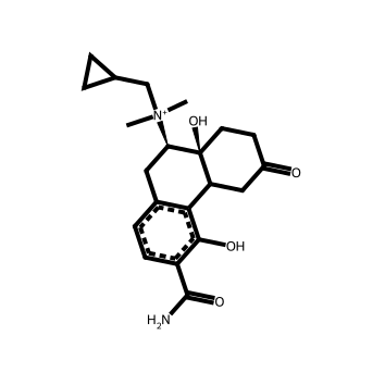 C[N+](C)(CC1CC1)[C@@H]1Cc2ccc(C(N)=O)c(O)c2C2CC(=O)CC[C@]21O